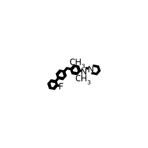 Cc1cc(/N=C/N2CCCCC2)c(C)cc1Cc1ccc(-c2ccccc2F)cc1